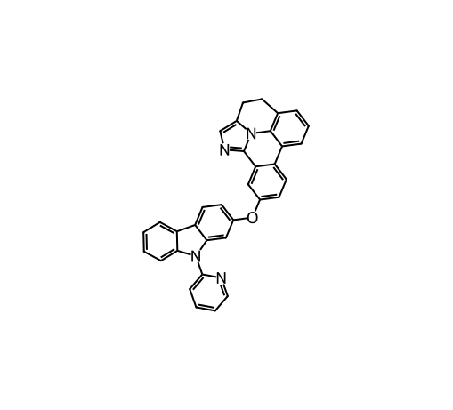 c1ccc(-n2c3ccccc3c3ccc(Oc4ccc5c(c4)c4ncc6n4c4c(cccc54)CC6)cc32)nc1